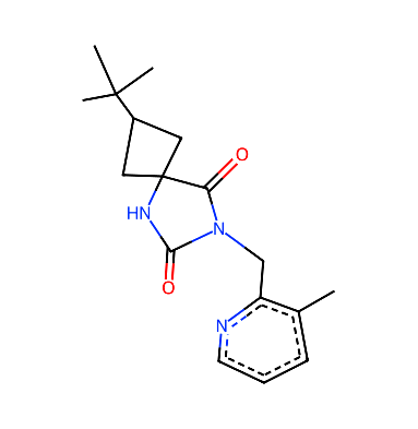 Cc1cccnc1CN1C(=O)NC2(CC(C(C)(C)C)C2)C1=O